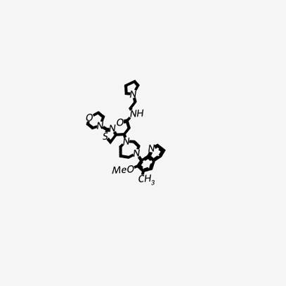 COc1c(C)cc2cccnc2c1N1CCCN(C(CC(=O)NCCN2CCCC2)C2CSC(N3CCOCC3)=N2)CC1